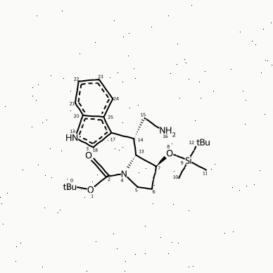 CC(C)(C)OC(=O)N1CC[C@H](O[Si](C)(C)C(C)(C)C)[C@H]1[C@@H](CN)c1c[nH]c2ccccc12